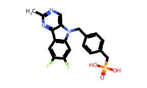 Cc1ncc2c(n1)c1cc(F)c(F)cc1n2Cc1ccc(CP(=O)(O)O)cc1